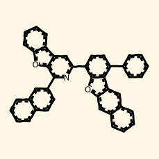 c1ccc(-c2ccc(-c3cc4c(oc5ccccc54)c(-c4ccc5ccccc5c4)n3)c3oc4cc5ccccc5cc4c23)cc1